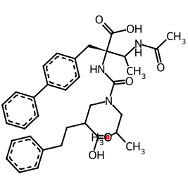 CC(=O)NC(C)[C@](Cc1ccc(-c2ccccc2)cc1)(NC(=O)N(CC(C)C)CC(CCc1ccccc1)C(=O)O)C(=O)O